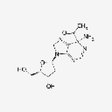 CC(=O)C1(N)N=CN=C2C1=NCN2[C@H]1C[C@H](O)[C@@H](CO)O1